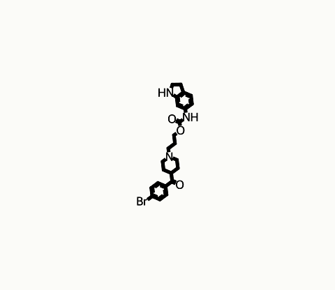 O=C(Nc1ccc2c(c1)NCC2)OCCCN1CCC(C(=O)c2ccc(Br)cc2)CC1